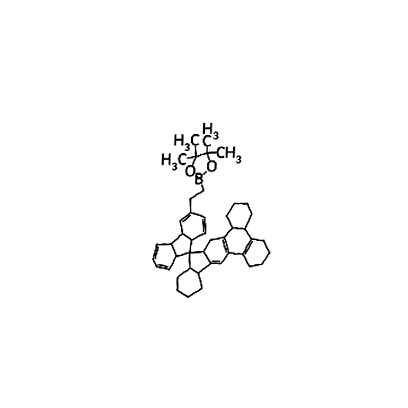 CC1(C)OB(CCC2=CC3C4C=CC=CC4C4(C5CC6=C(C=C5C5CCCCC54)C4=C(CCCC4)C4CCCCC64)C3C=C2)OC1(C)C